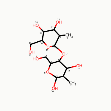 CC1C(OC2C(CO)OC(O)C(C)C2O)OC(CO)C(O)C1O